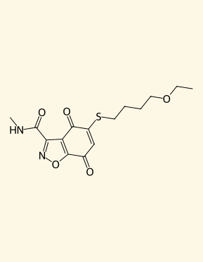 CCOCCCCSC1=CC(=O)c2onc(C(=O)NC)c2C1=O